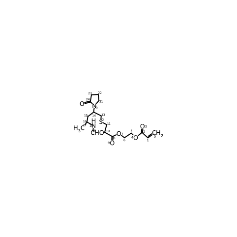 C=CC(=O)OCCOC(=O)CCSCC(CC(C)NC=O)N1CCCC1=O